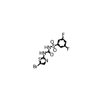 O=C(Nc1ncc(Br)s1)NS(=O)(=O)c1cc(F)cc(F)c1